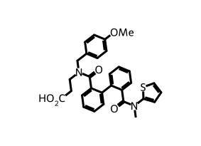 COc1ccc(CN(CCC(=O)O)C(=O)c2ccccc2-c2ccccc2C(=O)N(C)c2cccs2)cc1